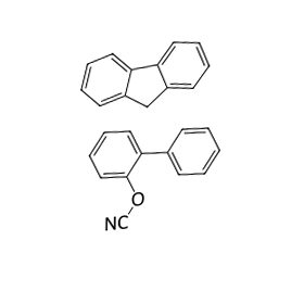 N#COc1ccccc1-c1ccccc1.c1ccc2c(c1)Cc1ccccc1-2